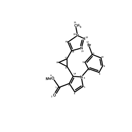 COC(=O)c1ccn(-c2cccc(Br)c2)c1C1CC1c1cn(C)nn1